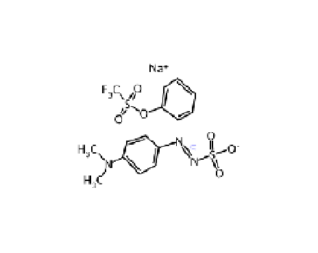 CN(C)c1ccc(/N=N/S(=O)(=O)[O-])cc1.O=S(=O)(Oc1ccccc1)C(F)(F)F.[Na+]